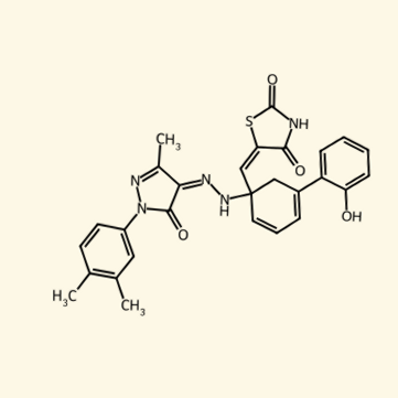 CC1=NN(c2ccc(C)c(C)c2)C(=O)C1=NNC1(C=C2SC(=O)NC2=O)C=CC=C(c2ccccc2O)C1